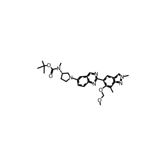 COCOc1c(-c2ncc3cc(N4CC[C@@H](N(C)C(=O)OC(C)(C)C)C4)ccc3n2)cc2cn(C)nc2c1C